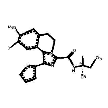 COc1cc2c(cc1Br)-c1c(-c3cccs3)nc(C(=O)N[C@](C)(C#N)CC(F)(F)F)n1CC2